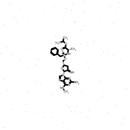 CNc1nc(N)nc2c1ncn2[C@@H]1O[C@H](COP(=S)(Cc2ccccc2)N[C@@H](C)C(=O)OC(C)C)CC1=N